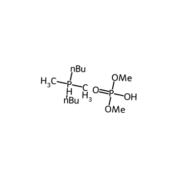 CCCC[PH](C)(C)CCCC.COP(=O)(O)OC